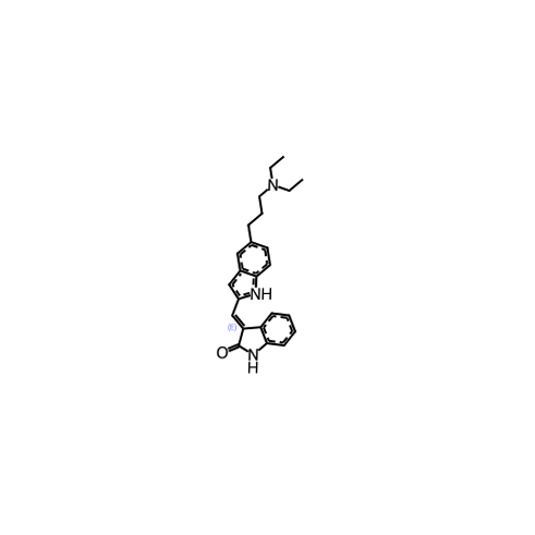 CCN(CC)CCCc1ccc2[nH]c(/C=C3/C(=O)Nc4ccccc43)cc2c1